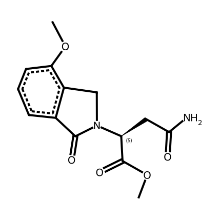 COC(=O)[C@H](CC(N)=O)N1Cc2c(OC)cccc2C1=O